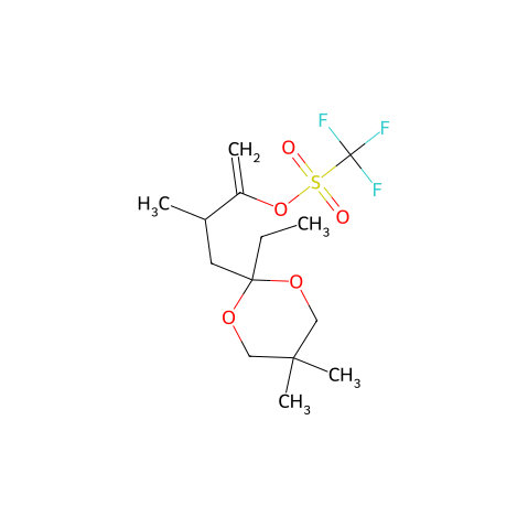 C=C(OS(=O)(=O)C(F)(F)F)C(C)CC1(CC)OCC(C)(C)CO1